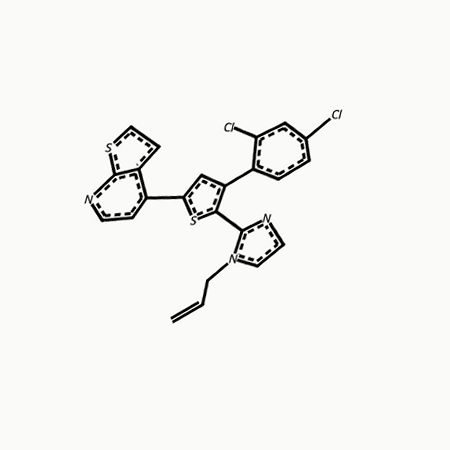 C=CCn1ccnc1-c1sc(-c2ccnc3sccc23)cc1-c1ccc(Cl)cc1Cl